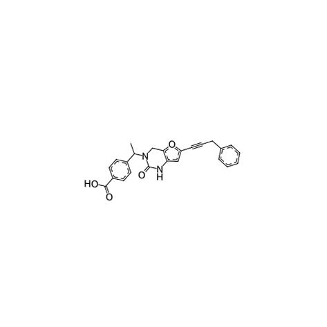 CC(c1ccc(C(=O)O)cc1)N1Cc2oc(C#CCc3ccccc3)cc2NC1=O